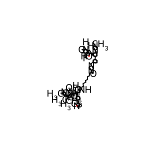 Cc1cc([C@H](C(=O)N2C[C@H](O)C[C@H]2C(=O)N[C@@H](CC(=O)NCCCCCCCCCC(=O)N2CCN(Cc3cccc(-c4ccc(N5CCN(C)CC5)c(NC(=O)c5c[nH]c(=O)cc5C(F)(F)F)c4)c3)CC2)c2ccc(-c3scnc3C)cc2)C(C)C)on1